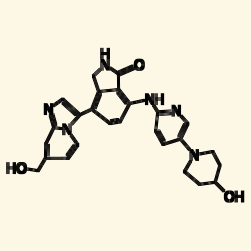 O=C1NCc2c(-c3cnc4cc(CO)ccn34)ccc(Nc3ccc(N4CCC(O)CC4)cn3)c21